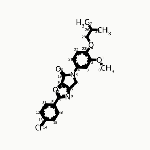 COc1cc(N2Cc3nc(-c4ccc(Cl)cc4)oc3C2=O)ccc1OCC(C)C